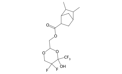 CC1C2CC(C(=O)OCC3OCC(F)(F)C(O)(C(F)(F)F)O3)C(C2)C1C